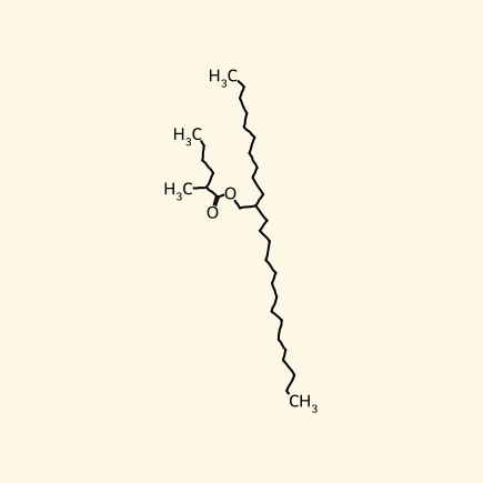 CCCCCCCCCCCCCCCC(CCCCCCCCCC)COC(=O)C(C)CCCC